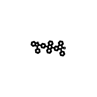 O=c1c2ccccc2c2cc(-c3c4ccccc4c(-c4ccc(-c5nc6ccccc6n5-c5ccccc5)cc4)c4ccccc34)ccc2n1-c1ccccc1